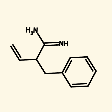 C=CC(Cc1ccccc1)C(=N)N